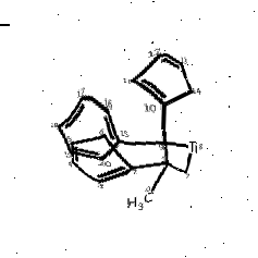 CC1(C2=CC=CC2)[CH2][Ti][C]1(C1=CC=CC1)c1ccccc1